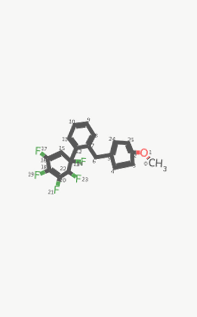 COc1ccc(Cc2ccccc2C2(F)C=C(F)C(F)=C(F)C2F)cc1